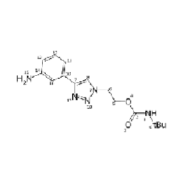 CC(C)(C)NC(=O)OCCn1cc(-c2cccc(N)c2)nn1